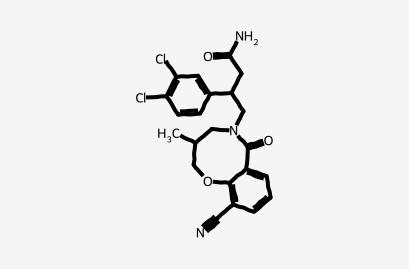 CC1COc2c(C#N)cccc2C(=O)N(CC(CC(N)=O)c2ccc(Cl)c(Cl)c2)C1